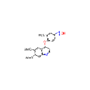 COc1cc2nccc(Oc3ccc(NO)cc3C)c2cc1OC